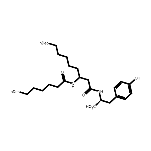 CCCCCCCCCCCCCCCC(=O)NC(CCCCCCCCCCCCCCC)CC(=O)N[C@@H](Cc1ccc(O)cc1)C(=O)O